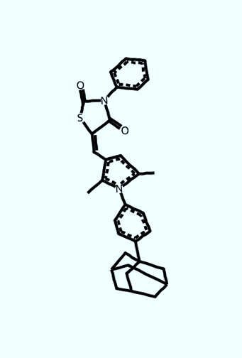 Cc1cc(C=C2SC(=O)N(c3ccccc3)C2=O)c(C)n1-c1ccc(C23CC4CC(CC(C4)C2)C3)cc1